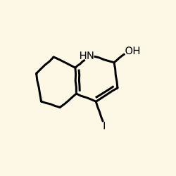 OC1C=C(I)C2=C(CCCC2)N1